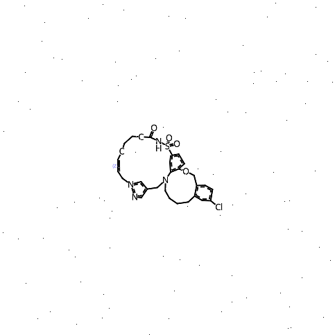 O=C1CCCC/C=C\Cn2cc(cn2)CN2CCCCc3cc(Cl)ccc3COc3ccc(cc32)S(=O)(=O)N1